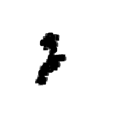 CCN1C(=O)C(C)(C)C(=O)N(C)c2cc(OCCCN(CCn3ccc4oc(-c5cccnc5)cc4c3=O)Cc3ccncc3)ccc21.Cl.Cl.Cl